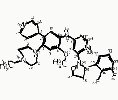 COc1cc(N2CCN(C)CC2)c(-c2ccncc2)cc1Nc1cc(N2OCC[C@@H]2c2cccc(F)c2F)ncn1